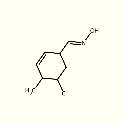 CC1C=CC(C=NO)CC1Cl